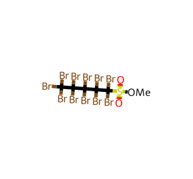 [CH2]OS(=O)(=O)C(Br)(Br)C(Br)(Br)C(Br)(Br)C(Br)(Br)C(Br)(Br)Br